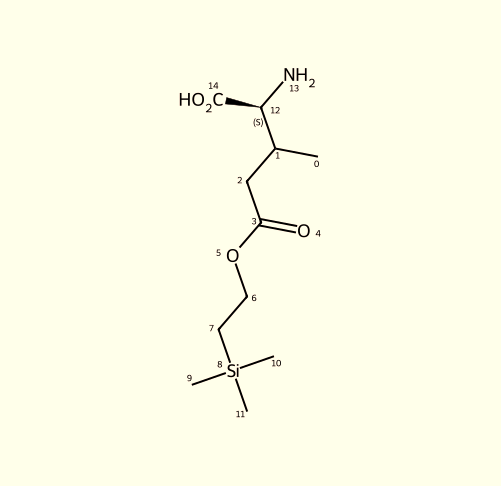 CC(CC(=O)OCC[Si](C)(C)C)[C@H](N)C(=O)O